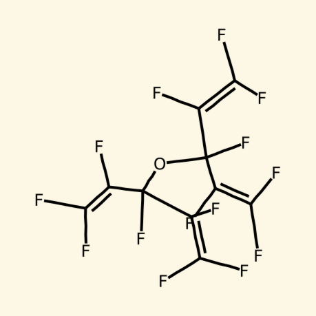 FC(F)=C(F)C(F)(OC(F)(C(F)=C(F)F)C(F)=C(F)F)C(F)=C(F)F